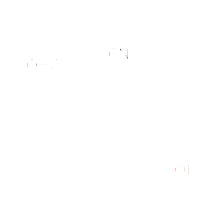 N#Cc1c(C=O)ccc2cc(O)ccc12